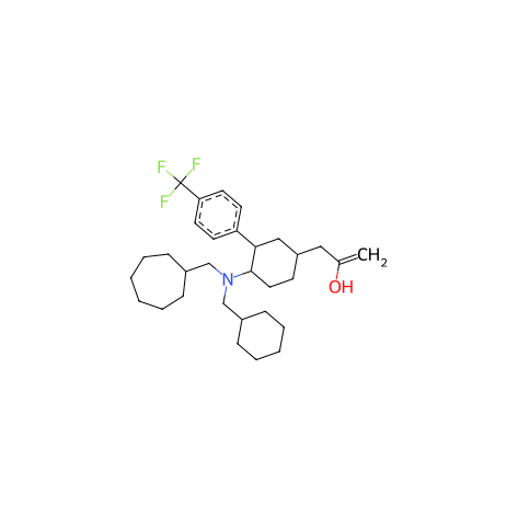 C=C(O)CC1CCC(N(CC2CCCCCC2)CC2CCCCC2)C(c2ccc(C(F)(F)F)cc2)C1